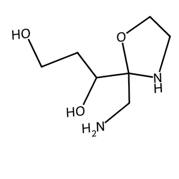 NCC1(C(O)CCO)NCCO1